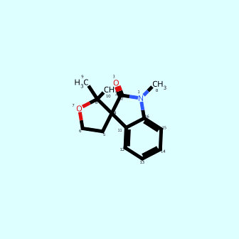 CN1C(=O)C2(CCOC2(C)C)c2ccccc21